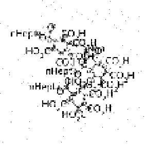 CCCCCCCCCOC(=O)c1c(C(=O)O)c(C(=O)O)c(C(=O)O)c(C(=O)O)c1C(=O)OCCCCCCC.CCCCCCCOC(=O)c1c(C(=O)O)c(C(=O)O)c(C(=O)O)c(C(=O)O)c1C(=O)O.CCCCCCCOC(=O)c1c(C(=O)O)c(C(=O)O)c(C(=O)O)c(C(=O)O)c1C(=O)O